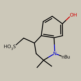 CCCCN1c2cc(O)ccc2C(CS(=O)(=O)O)CC1(C)C